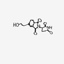 O=C1CCC(N2C(=O)c3ccc(CCO)cc3C2=O)C(=O)N1